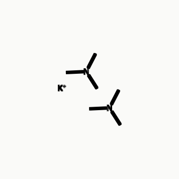 CN(C)C.CN(C)C.[K+]